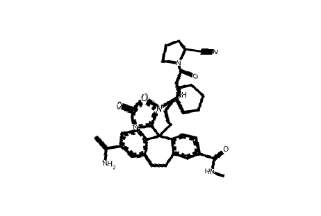 C=C(N)c1ccc2c(c1)CCc1cc(C(=O)NC)ccc1C2(CCNCC(=O)N1CCCC1C#N)c1nc(=O)on1C1CCCCC1